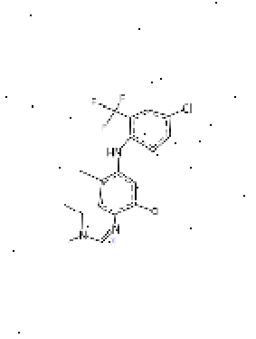 CCN(C)/C=N\c1cc(C)c(Nc2ccc(Cl)cc2C(F)(F)F)cc1Cl